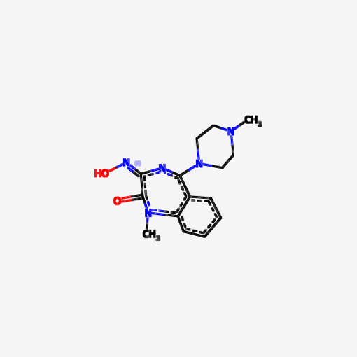 CN1CCN(c2n/c(=N/O)c(=O)n(C)c3ccccc23)CC1